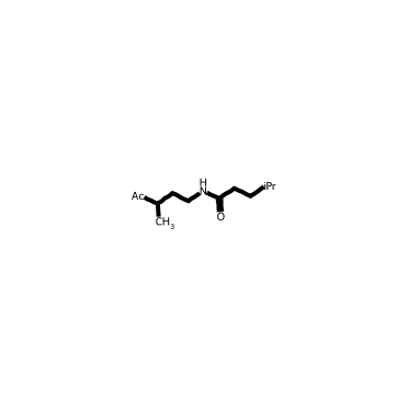 CC(=O)C(C)CCNC(=O)CCC(C)C